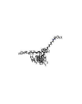 CCCCCCCC/C=C/CCCCCCCC(=O)NC(CCNC([N+](C)(C)C)[N+](C)(C)C)C(=O)NCCCCCCCCCCCCCCCC